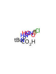 CC(C)(C)N(C(=O)O)c1ccc(NCC(O)CNC(=O)c2ccc(Cl)s2)cc1